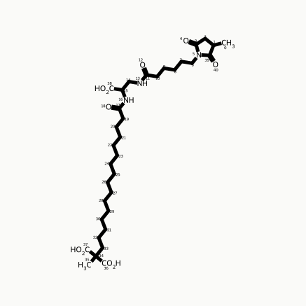 CC1CC(=O)N(CCCCCC(=O)NCC(NC(=O)CCCCCCCCCCCCCCCC(C)(C(=O)O)C(=O)O)C(=O)O)C1=O